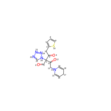 O=[C]C(C(=O)Cc1cccs1)(C(=O)CN1C=CCC=C1)n1cnnn1